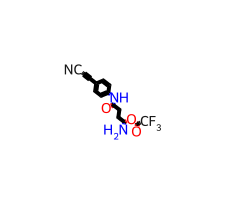 N#CC#Cc1ccc(NC(=O)CCC(N)OC(=O)C(F)(F)F)cc1